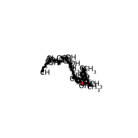 C#CCCCCOP(=O)(O)OCCC1CC1C[C@H](CC)OP(=O)(O)OCC(O)COCCCNC(=O)c1ccc(C(=O)O)c(-c2c3ccc(=[N+](C)C)cc-3oc3cc(N(C)C)ccc23)c1